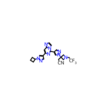 N#CCC1(n2cc(-c3nc(-c4cnn(C5CCC5)c4)cc4nccn34)cn2)CN(CC(F)(F)F)C1